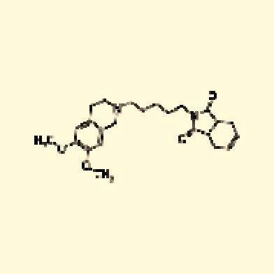 COc1cc2c(cc1OC)CN(CCCCCN1C(=O)C3CC=CCC3C1=O)CC2